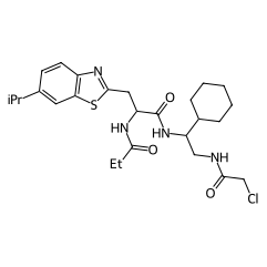 CCC(=O)NC(Cc1nc2ccc(C(C)C)cc2s1)C(=O)NC(CNC(=O)CCl)C1CCCCC1